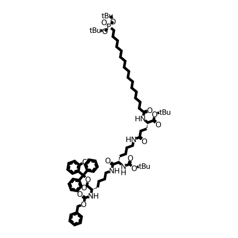 CC(C)(C)OC(=O)N[C@@H](CCCCNC(=O)CC[C@H](NC(=O)CCCCCCCCCCCCCCCCP(=O)(OC(C)(C)C)OC(C)(C)C)C(=O)OC(C)(C)C)C(=O)NCCCC[C@H](NC(=O)OCc1ccccc1)C(=O)OC(c1ccccc1)(c1ccccc1)c1ccccc1Cl